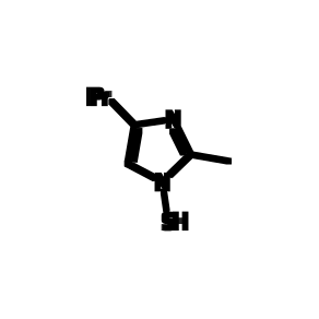 Cc1nc(C(C)C)cn1S